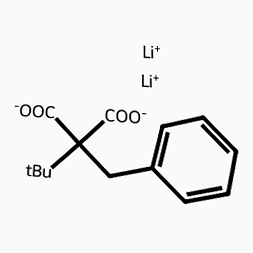 CC(C)(C)C(Cc1ccccc1)(C(=O)[O-])C(=O)[O-].[Li+].[Li+]